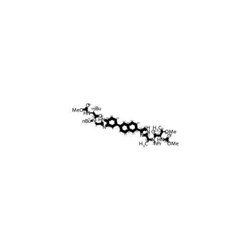 CCCCN(Cc1nc2cc(-c3ccc4cc(-c5c[nH]c([C@H](C)N(CCC)C(=O)[C@@H](NC(=O)OC)[C@@H](C)OC)n5)ccc4c3)ccc2[nH]1)C(=O)[C@@H](NC(=O)OC)[C@@H](C)CC